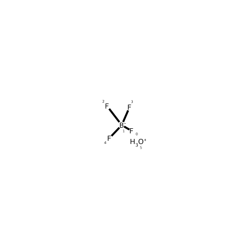 F[B-](F)(F)F.[OH3+]